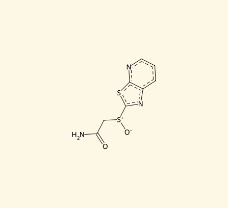 NC(=O)C[S+]([O-])c1nc2cccnc2s1